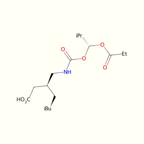 CCC(=O)O[C@H](OC(=O)NC[C@H](CC(=O)O)C[C@H](C)CC)C(C)C